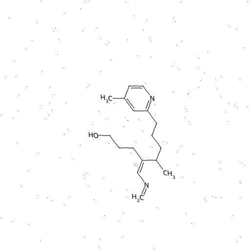 C=N/C=C(/CCCO)C(C)CCCc1cc(C)ccn1